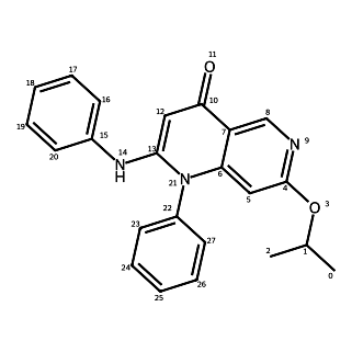 CC(C)Oc1cc2c(cn1)c(=O)cc(Nc1ccccc1)n2-c1ccccc1